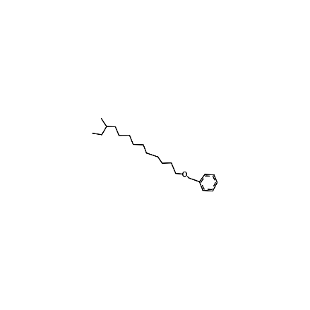 CCC(C)CCCCCCCCCCOCc1ccccc1